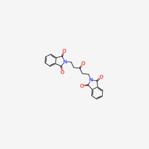 O=C(CCN1C(=O)c2ccccc2C1=O)CCN1C(=O)c2ccccc2C1=O